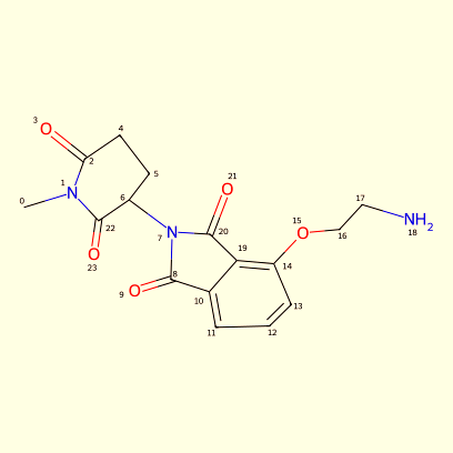 CN1C(=O)CCC(N2C(=O)c3cccc(OCCN)c3C2=O)C1=O